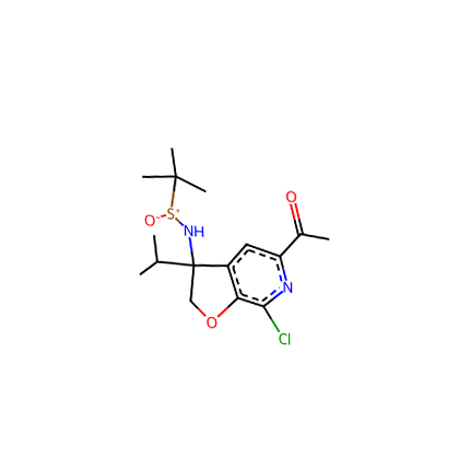 CC(=O)c1cc2c(c(Cl)n1)OCC2(N[S+]([O-])C(C)(C)C)C(C)C